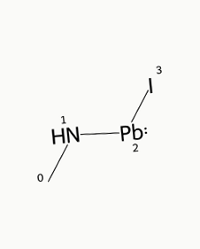 C[NH][Pb][I]